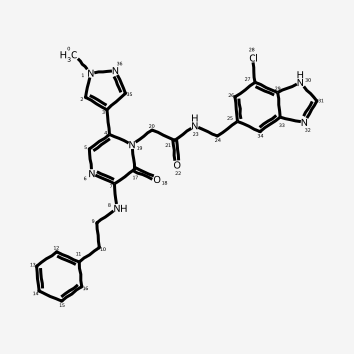 Cn1cc(-c2cnc(NCCc3ccccc3)c(=O)n2CC(=O)NCc2cc(Cl)c3[nH]cnc3c2)cn1